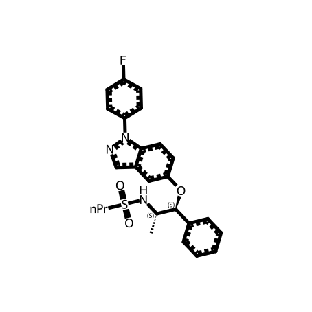 CCCS(=O)(=O)N[C@@H](C)[C@@H](Oc1ccc2c(cnn2-c2ccc(F)cc2)c1)c1ccccc1